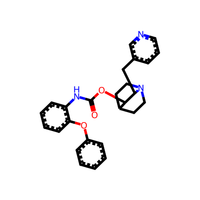 O=C(Nc1ccccc1Oc1ccccc1)OC1C2CCN(CC2)C1Cc1cccnc1